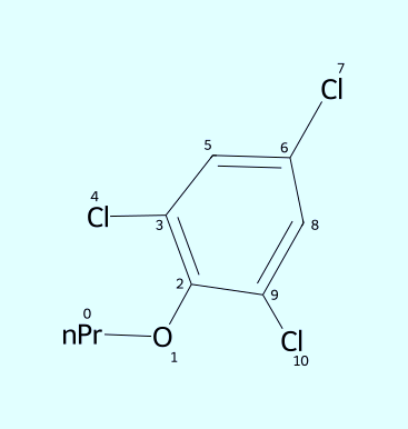 CCCOc1c(Cl)cc(Cl)cc1Cl